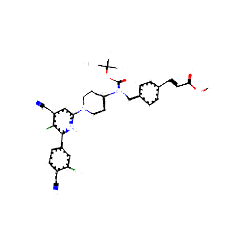 COC(=O)/C=C/c1ccc(CN(C(=O)OC(C)(C)C)C2CCN(c3cc(C#N)c(Br)c(-c4ccc(C#N)c(F)c4)n3)CC2)cc1